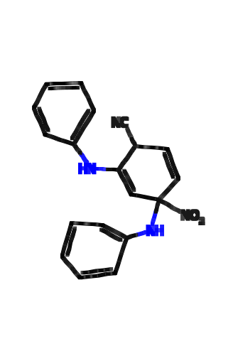 N#CC1C=CC(Nc2ccccc2)([N+](=O)[O-])C=C1Nc1ccccc1